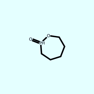 O=[PH]1CCCCCO1